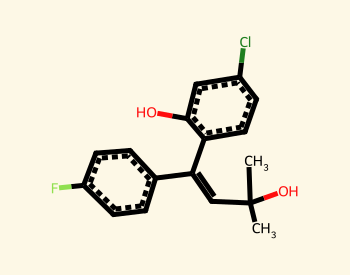 CC(C)(O)/C=C(/c1ccc(F)cc1)c1ccc(Cl)cc1O